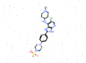 CCN1CCC(Nc2c(Cl)cnc3[nH]c(-c4ccc(N5CCN(S(C)(=O)=O)CC5)cc4)nc23)CC1